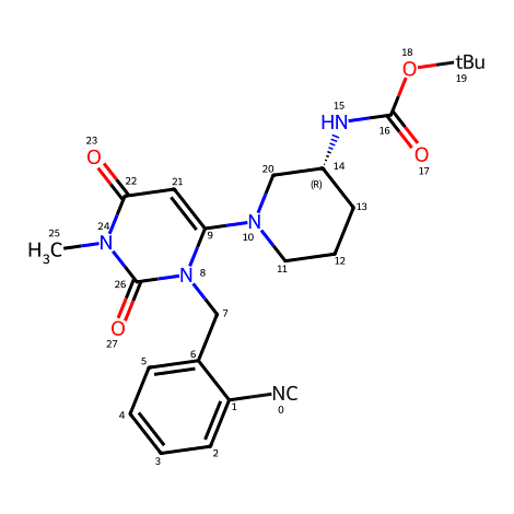 [C-]#[N+]c1ccccc1Cn1c(N2CCC[C@@H](NC(=O)OC(C)(C)C)C2)cc(=O)n(C)c1=O